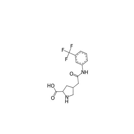 O=C(CC1CNC(C(=O)O)C1)Nc1cccc(C(F)(F)F)c1